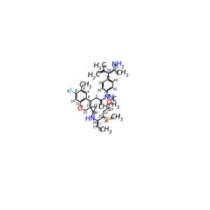 C=C(CC1c2cc(C)c(F)cc2OCC12C[C@H]2NC(=C/C)/C(CCOC)=P/C)Nc1ccc(/C(C(=C)C)=C(\C)N)cc1